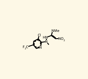 CNC(=C[N+](=O)[O-])NN(C)c1ncc(C(F)(F)F)cc1Cl